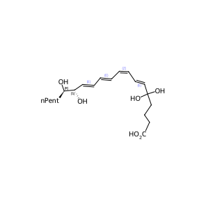 CCCCC[C@@H](O)[C@@H](O)/C=C/C=C/C=C\C=C\C(O)(O)CCCC(=O)O